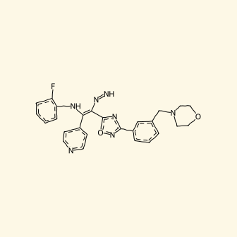 N=N/C(=C(\Nc1ccccc1F)c1ccncc1)c1nc(-c2cccc(CN3CCOCC3)c2)no1